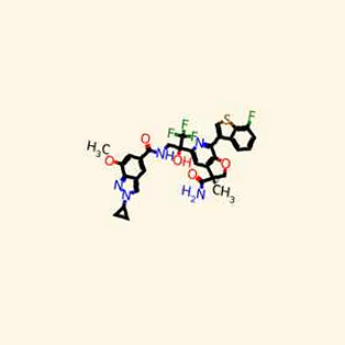 COc1cc(C(=O)NCC(O)(c2cc3c(c(-c4csc5c(F)cccc45)n2)OC[C@]3(C)C(N)=O)C(F)(F)F)cc2cn(C3CC3)nc12